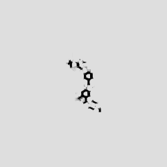 CCN1CCN(C(C)c2ccc(NC(=O)c3ccc(Cl)c(Oc4ncnc5c4OCC(C)(C)N5)c3)cc2C(F)(F)F)CC1